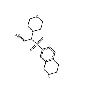 C=CC(N1CCOCC1)S(=O)(=O)c1ccc2c(c1)CNCC2